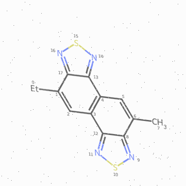 CCc1cc2c(cc(C)c3nsnc32)c2nsnc12